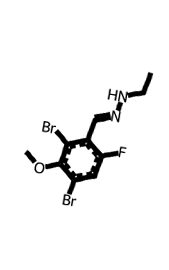 CCN/N=C/c1c(F)cc(Br)c(OC)c1Br